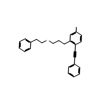 COc1ccc(C#Cc2ccccc2)c(CCCNCCc2ccccc2)c1